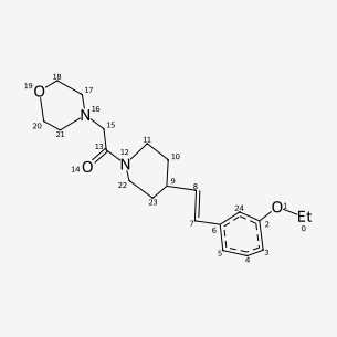 CCOc1cccc(/C=C/C2CCN(C(=O)CN3CCOCC3)CC2)c1